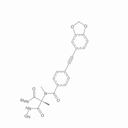 CNC(=O)[C@@](C)(C(=O)NO)N(C)C(=O)c1ccc(C#Cc2ccc3c(c2)OCO3)cc1